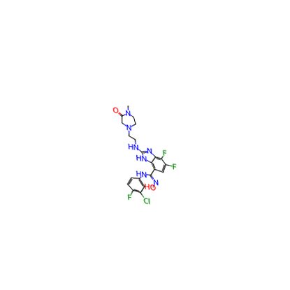 CN1CCN(CCNc2nc3c(F)c(F)cc(/C(=N/O)Nc4ccc(F)c(Cl)c4)c3[nH]2)CC1=O